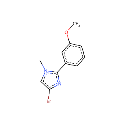 Cn1cc(Br)nc1-c1cccc(OC(F)(F)F)c1